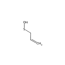 C=CCSO